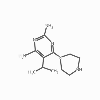 CC(C)c1c(N)nc(N)nc1N1CCNCC1